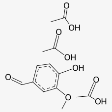 CC(=O)O.CC(=O)O.CC(=O)O.COc1cc(C=O)ccc1O